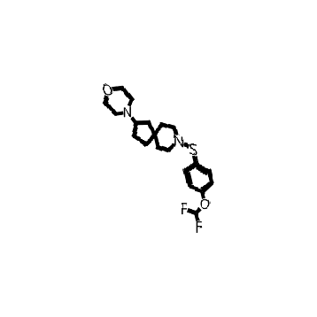 FC(F)Oc1ccc(SN2CCC3(CCC(N4CCOCC4)C3)CC2)cc1